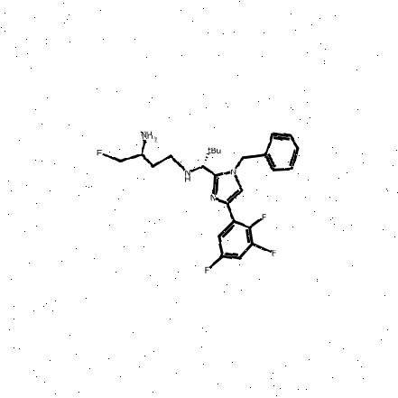 CC(C)(C)[C@@H](NCC[C@H](N)CF)c1nc(-c2cc(F)cc(F)c2F)cn1Cc1ccccc1